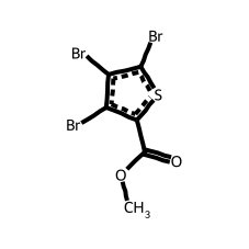 COC(=O)c1sc(Br)c(Br)c1Br